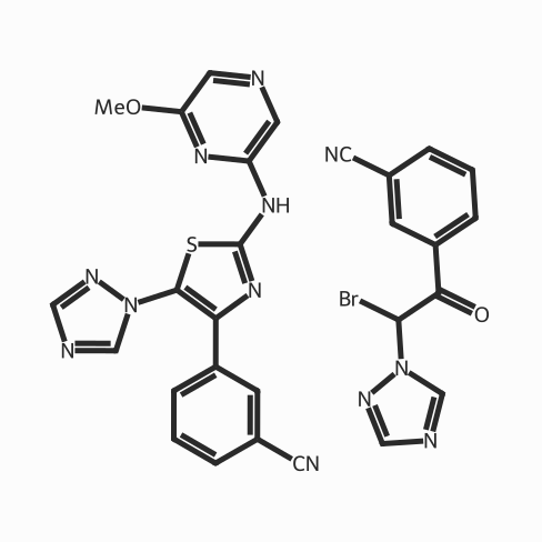 COc1cncc(Nc2nc(-c3cccc(C#N)c3)c(-n3cncn3)s2)n1.N#Cc1cccc(C(=O)C(Br)n2cncn2)c1